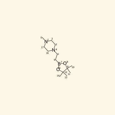 CN1CCN(CCB2OC(C)(C)C(C)(C)O2)CC1